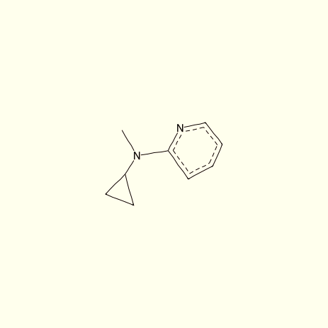 CN(c1ccccn1)C1CC1